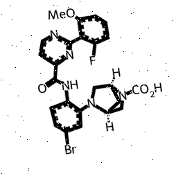 COc1cccc(F)c1-c1nccc(C(=O)Nc2ccc(Br)cc2N2C[C@@H]3C[C@H]2CN3C(=O)O)n1